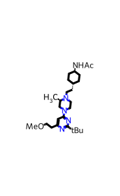 COCCc1cc(N2CCN(CC[C@H]3CC[C@H](NC(C)=O)CC3)[C@H](C)C2)nc(C(C)(C)C)n1